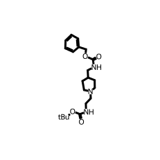 CC(C)(C)OC(=O)NCCN1CCC(CNC(=O)OCc2ccccc2)CC1